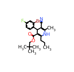 CCCC1=C(C(=O)OCC(C)(C)C)C(c2ccc(F)cc2Br)C(C#N)=C(C)N1